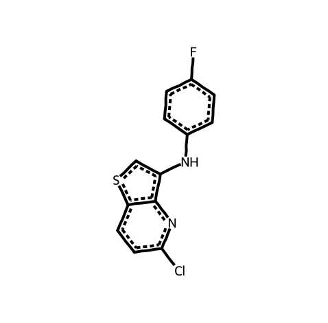 Fc1ccc(Nc2csc3ccc(Cl)nc23)cc1